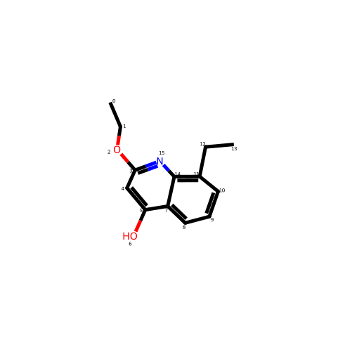 CCOc1cc(O)c2cccc(CC)c2n1